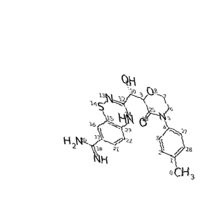 Cc1ccc(N2CCOC([C@@H](O)C3=NSc4cc(C(=N)N)ccc4N3)C2=O)cc1